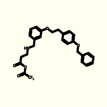 O=C(CCNCc1cccc(OCCc2ccc(OCc3ccccc3)cc2)c1)OC(=O)C(F)(F)F